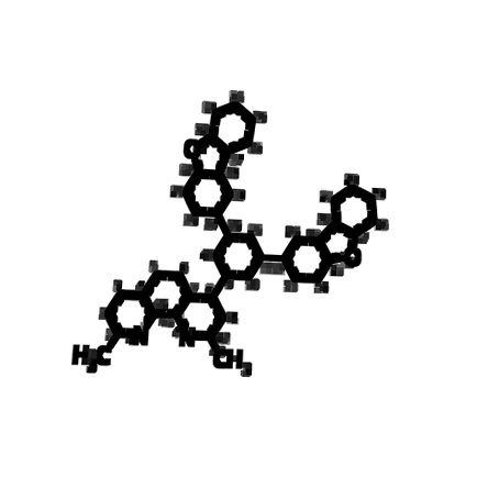 Cc1ccc2ccc3c(-c4cc(-c5ccc6oc7ccccc7c6c5)cc(-c5ccc6oc7ccccc7c6c5)c4)cc(C)nc3c2n1